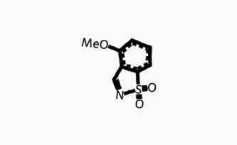 COc1cccc2c1C=NS2(=O)=O